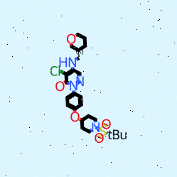 CC(C)(C)S(=O)(=O)N1CCC(Oc2ccc(-n3ncc(NC[C@H]4CCCOC4)c(Cl)c3=O)cc2)CC1